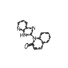 O=c1ccc2ccccc2n1-c1nc2cccnc2[nH]1